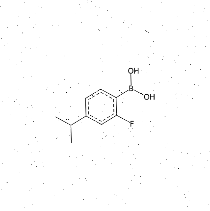 CC(C)c1ccc(B(O)O)c(F)c1